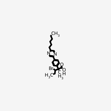 CCCCCCc1cnc(-c2ccc(C(C)(C(=O)O)C(Br)CC)cc2)cn1